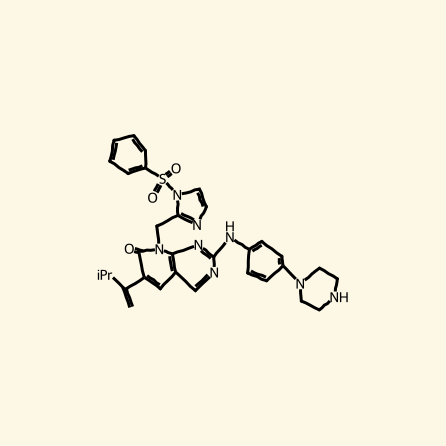 C=C(c1cc2cnc(Nc3ccc(N4CCNCC4)cc3)nc2n(Cc2nccn2S(=O)(=O)c2ccccc2)c1=O)C(C)C